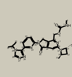 CNC(=O)OCc1nc(N2[C@H](C)C[C@H]2C)cc2c1CN(c1cccc(-c3nncn3C(C)C)n1)C2=O